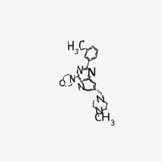 Cc1cccc(-c2nc(N3CCOCC3)c3ncc(CN4CCN(C)CC4)cc3n2)c1